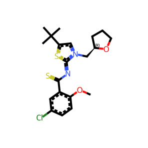 COc1ccc(Cl)cc1C(=S)N=c1sc(C(C)(C)C)cn1C[C@H]1CCCO1